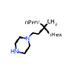 CCCCCCC(C)(CCCCC)CCN1CCNCC1